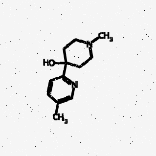 Cc1ccc(C2(O)CCN(C)CC2)nc1